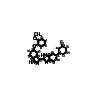 COc1ccccc1Oc1ccc2[nH]nc(-c3nc4ccc(N5CCCC(F)C5)cc4[nH]3)c2c1